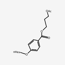 CCCCCCOc1ccc(C(=O)OCCCOC(C)=O)cc1